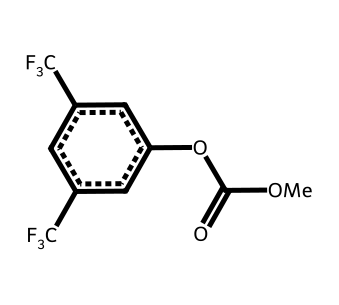 COC(=O)Oc1cc(C(F)(F)F)cc(C(F)(F)F)c1